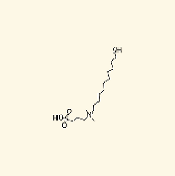 C[N+](C)(CCCCCCCCCCCS)CCCS(=O)(=O)O